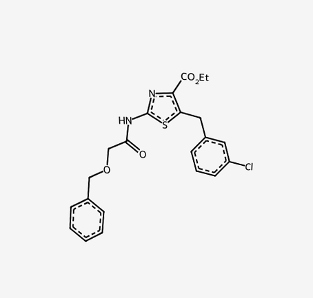 CCOC(=O)c1nc(NC(=O)COCc2ccccc2)sc1Cc1cccc(Cl)c1